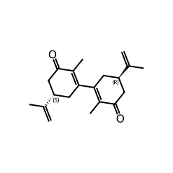 C=C(C)[C@@H]1CC(=O)C(C)=C(C2=C(C)C(=O)C[C@H](C(=C)C)C2)C1